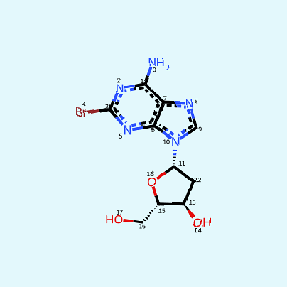 Nc1nc(Br)nc2c1ncn2[C@@H]1C[C@@H](O)[C@H](CO)O1